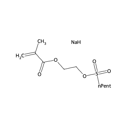 C=C(C)C(=O)OCCOS(=O)(=O)CCCCC.[NaH]